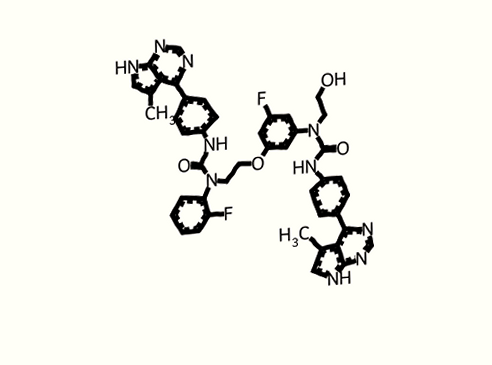 Cc1c[nH]c2ncnc(-c3ccc(NC(=O)N(CCO)c4cc(F)cc(OCCN(C(=O)Nc5ccc(-c6ncnc7[nH]cc(C)c67)cc5)c5ccccc5F)c4)cc3)c12